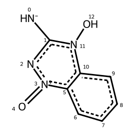 [NH-]c1n[n+](=O)c2ccccc2n1O